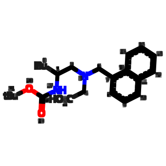 CCC(C)C(CN(CC(=O)O)Cc1cccc2ccccc12)NC(=O)OC(C)(C)C